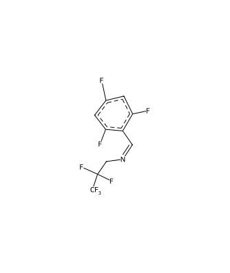 Fc1cc(F)c(/C=N\CC(F)(F)C(F)(F)F)c(F)c1